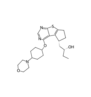 CC[C@@H](O)C[C@H]1CCc2sc3ncnc(OC4CCC(N5CCOCC5)CC4)c3c21